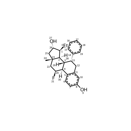 CC[C@H]1[C@H]2[C@H]3[C@@H](c4ccc(O)cc4C[C@H]3c3ccccc3)[C@@H](F)C[C@]2(C)C[C@@H]1O